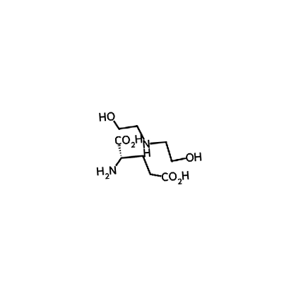 N[C@@H](CCC(=O)O)C(=O)O.OCCNCCO